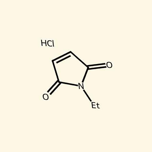 CCN1C(=O)C=CC1=O.Cl